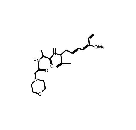 C=C/C(=C\C=C\CC(NC(=O)C(C)NC(=O)CN1CCOCC1)C(=C)C)OC